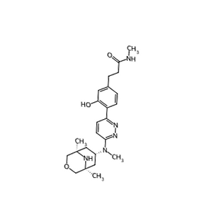 CNC(=O)CCc1ccc(-c2ccc(N(C)[C@H]3C[C@]4(C)COC[C@](C)(C3)N4)nn2)c(O)c1